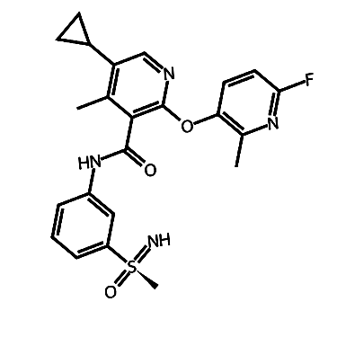 Cc1nc(F)ccc1Oc1ncc(C2CC2)c(C)c1C(=O)Nc1cccc([S@](C)(=N)=O)c1